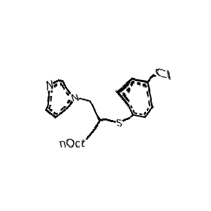 CCCCCCCCC(Cn1ccnc1)Sc1ccc(Cl)cc1